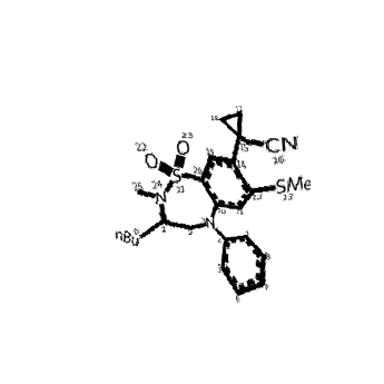 CCCCC1CN(c2ccccc2)c2cc(SC)c(C3(C#N)CC3)cc2S(=O)(=O)N1C